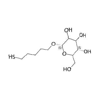 OCC1O[C@H](OCCCCCS)C(O)C(O)[C@@H]1O